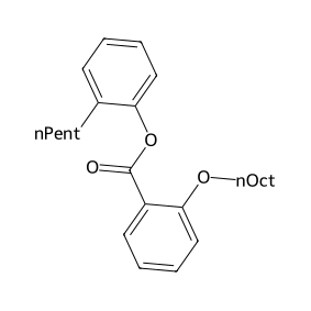 CCCCCCCCOc1ccccc1C(=O)Oc1ccccc1CCCCC